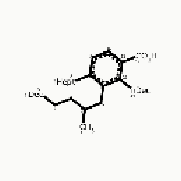 CCCCCCCCCCCCC(C)Cc1c(CCCCCCC)ccc(C(=O)O)c1CCCCCCCCCC